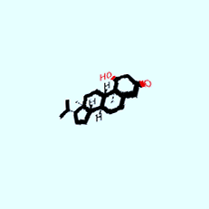 CC(C)[C@H]1CC[C@H]2[C@@H]3CCC4=CC(=O)CC(O)[C@]4(C)[C@H]3CC[C@]12C